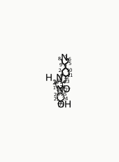 Nc1cc(-c2ccncc2)ccc1CC1CCCN(C2CCC(O)CC2)C1=O